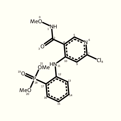 CONC(=O)c1cnc(Cl)cc1Nc1ccccc1P(=O)(OC)OC